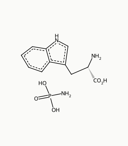 NP(=O)(O)O.N[C@@H](Cc1c[nH]c2ccccc12)C(=O)O